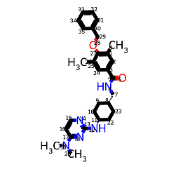 Cc1cc(C(=O)NC[C@H]2CC[C@@H](Nc3nccc(N(C)C)n3)CC2)cc(C)c1OCc1ccccc1